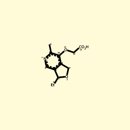 CCC1OCc2c1cnc(C)c2OCC(=O)O